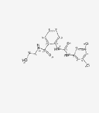 O=C(Nc1cc(Cl)cc(Cl)c1)Nc1ccccc1C(=O)NCCO